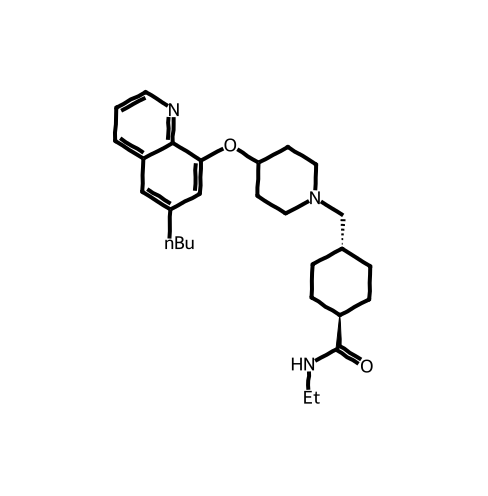 CCCCc1cc(OC2CCN(C[C@H]3CC[C@H](C(=O)NCC)CC3)CC2)c2ncccc2c1